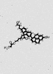 C=CC(=O)OCCCCCC1(C(=C)CC)c2cc(CCCC(F)(F)F)ccc2-c2ccc(-c3ccc4ccc5cc(C(C)(C)C)cc6ccc3c4c56)cc21